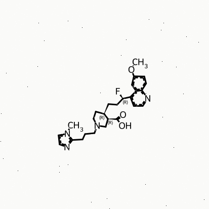 COc1ccc2nccc([C@H](F)CC[C@@H]3CCN(CCCc4nccn4C)C[C@@H]3C(=O)O)c2c1